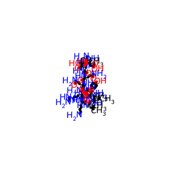 CC(C)C[C@H](NC(=O)[C@H](CCCCN)NC(=O)[C@H](CCCNC(=N)N)NC(=O)[C@H](Cc1ccc(O)cc1)NC(=O)[C@H](CCC(N)=O)NC(=O)[C@H](CCC(N)=O)NC(=O)[C@H](CCCNC(=N)N)NC(=O)[C@@H](NC(=O)[C@@H](C)CC(=O)O)[C@@H](C)O)C(=O)N[C@@H](CC(C)C)C(C)N[C@@H](CCCCN)C(N)=O